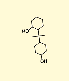 CC(C)(C1CCC(O)CC1)C1CCCCC1O